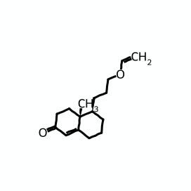 C=COCCC[C@H]1CCCC2=CC(=O)CC[C@@]21C